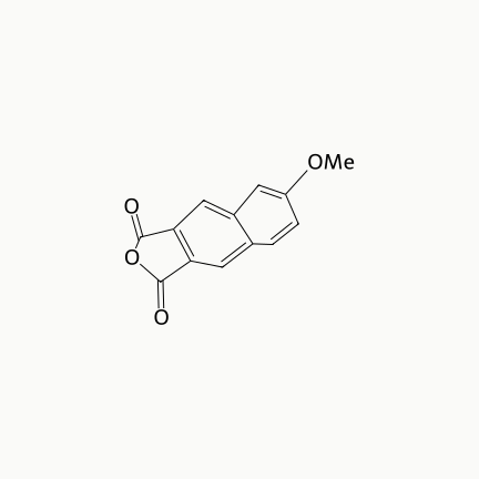 COc1ccc2cc3c(cc2c1)C(=O)OC3=O